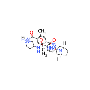 CCN1CC[C@H](NC(=O)c2ccc(N3[C@@H]4CC[C@H]3C[C@@H](NC(=O)c3cc(C)c(C(N)=O)cc3C)C4)nc2)C1